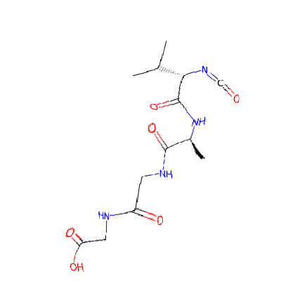 CC(C)[C@H](N=C=O)C(=O)N[C@@H](C)C(=O)NCC(=O)NCC(=O)O